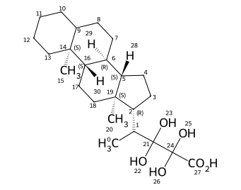 CC([C@H]1CC[C@H]2[C@@H]3CCC4CCCC[C@]4(C)[C@H]3CC[C@]12C)C(O)(O)C(O)(O)C(=O)O